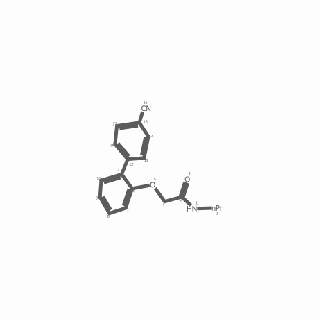 CCCNC(=O)COc1ccccc1-c1ccc(C#N)cc1